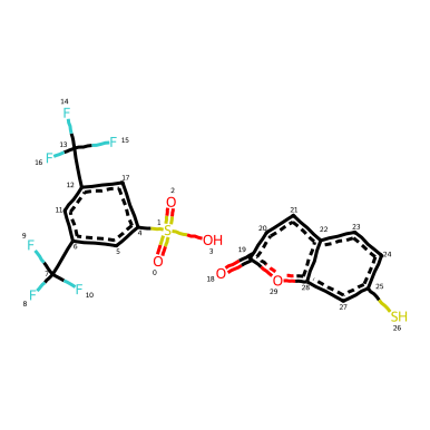 O=S(=O)(O)c1cc(C(F)(F)F)cc(C(F)(F)F)c1.O=c1ccc2ccc(S)cc2o1